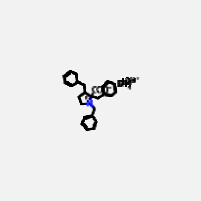 O=C([O-])[C@]1(Cc2ccccc2)C(Cc2ccccc2)CCN1Cc1ccccc1.[BH4-].[Na+].[Na+]